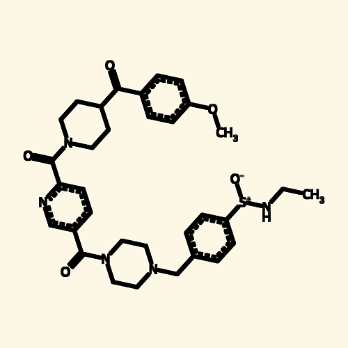 CCN[S+]([O-])c1ccc(CN2CCN(C(=O)c3ccc(C(=O)N4CCC(C(=O)c5ccc(OC)cc5)CC4)nc3)CC2)cc1